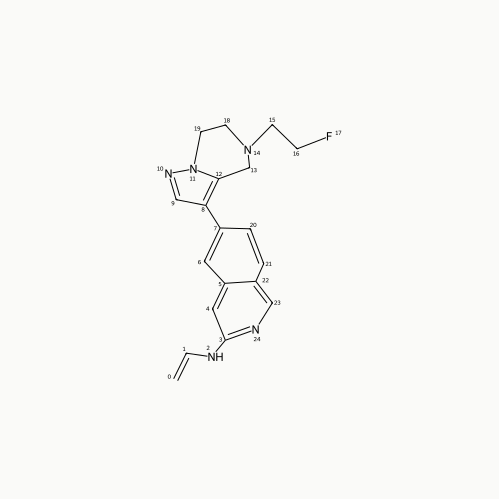 C=CNc1cc2cc(-c3cnn4c3CN(CCF)CC4)ccc2cn1